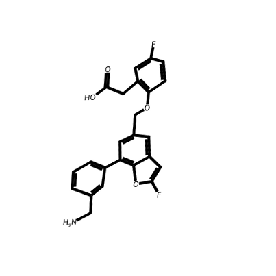 NCc1cccc(-c2cc(COc3ccc(F)cc3CC(=O)O)cc3cc(F)oc23)c1